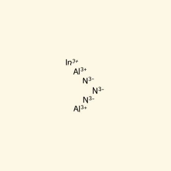 [Al+3].[Al+3].[In+3].[N-3].[N-3].[N-3]